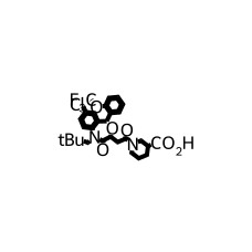 CC(C)(C)CN1C(=O)C(CC(=O)N2CCCC(C(=O)O)C2)OC(c2ccccc2OC(F)(F)F)c2cc(Cl)ccc21